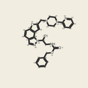 CCC(CNC(=O)OCc1ccccc1)n1ncc2ccc3oc(CN4CCN(c5ccccn5)CC4)cc3c21